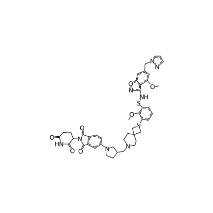 COc1c(SNc2noc3cc(Cn4cccn4)cc(OC)c23)cccc1N1CC2(CCN(CC3CCN(c4ccc5c(c4)C(=O)N(C4CCC(=O)NC4=O)C5=O)C3)CC2)C1